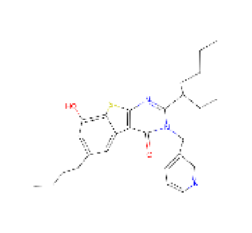 CCCCc1cc(O)c2sc3nc(C(CC)CCCC)n(Cc4cccnc4)c(=O)c3c2c1